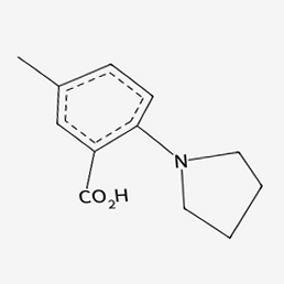 Cc1ccc(N2CCCC2)c(C(=O)O)c1